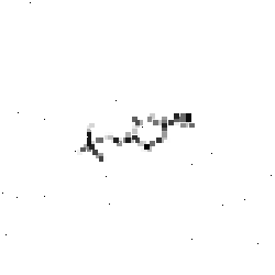 CC(C)(C)CCN1CCC(N)CC1